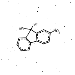 CCCC1(CCC)c2ccccc2-c2ccc([N+](=O)[O-])cc21